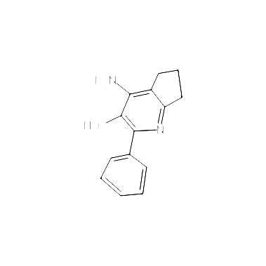 Cc1c(-c2ccccc2)nc2c(c1N)CCC2